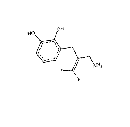 NCC(Cc1cccc(O)c1O)=C(F)F